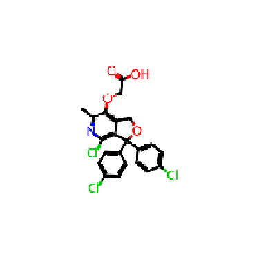 Cc1nc(Cl)c2c(c1OCC(=O)O)COC2(c1ccc(Cl)cc1)c1ccc(Cl)cc1